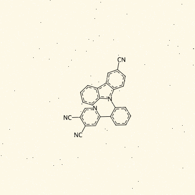 N#Cc1ccc2c(c1)c1ccccc1n2-c1ccccc1-c1cc(C#N)c(C#N)cn1